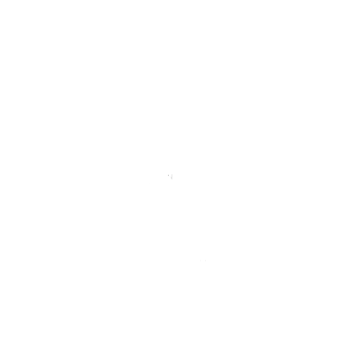 COc1ccc([N+](CCCCCO)(c2ccccc2)c2ccccc2)cc1